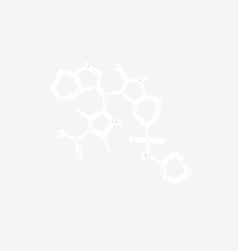 Cc1[nH]c(C(=C2C=Nc3ccccc32)C2C(=O)Nc3ccc(S(=O)(=O)Nc4cccnc4)cc32)c(C)c1C(=O)O